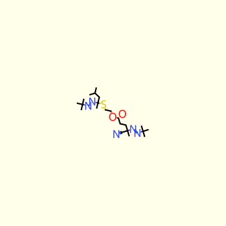 CC(C)CC(C)(N=NC(C)(C)C)SCCOC(=O)CCC(C)(C#N)N=NC(C)(C)C